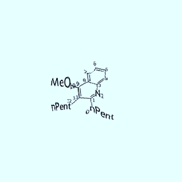 CCCCCc1nc2ccccc2c(OC)c1CCCCC